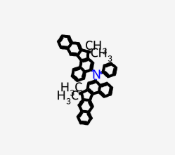 CC1(C)c2cc3ccccc3cc2-c2c1cc(N(c1ccccc1)c1cc3c(c4ccccc14)-c1cc4ccccc4cc1C3(C)C)c1ccccc21